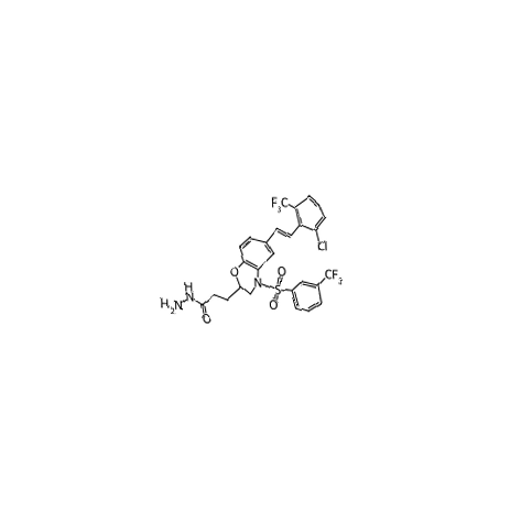 NNC(=O)CCC1CN(S(=O)(=O)c2cccc(C(F)(F)F)c2)c2cc(C=Cc3c(Cl)cccc3C(F)(F)F)ccc2O1